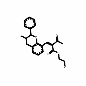 CC(=O)C(=Cc1cccc2c1OC(c1ccccc1)C(C)C2)C(=O)OCCCl